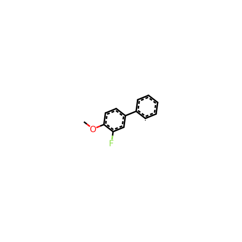 COc1ccc(-c2[c]cccc2)cc1F